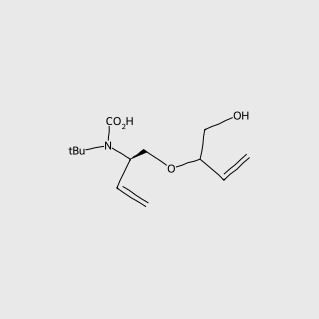 C=CC(CO)OC[C@@H](C=C)N(C(=O)O)C(C)(C)C